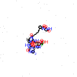 CN1CCN(C(=O)[C@H](Cc2ccccc2)NC(=O)[C@H](CCC(N)=O)NC(=O)[C@@H]2CC[C@@H]3CCN(C(=O)CCCCCC#Cc4cccc5c4CN(C4CCC(=O)NC4=O)C5=O)C[C@H](NC(=O)c4cc5cc(C(F)(F)P(=O)(O)O)ccc5s4)C(=O)N32)CC1